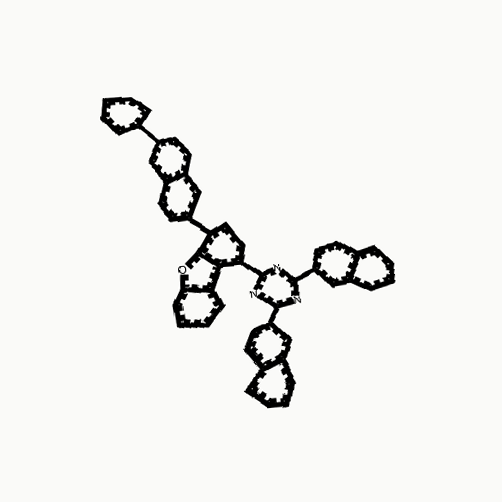 c1ccc(-c2ccc3cc(-c4ccc(-c5nc(-c6ccc7ccccc7c6)nc(-c6ccc7ccccc7c6)n5)c5c4oc4ccccc45)ccc3c2)cc1